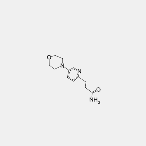 NC(=O)CCc1ccc(N2CCOCC2)cn1